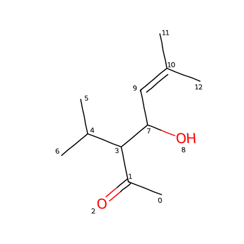 CC(=O)C(C(C)C)C(O)C=C(C)C